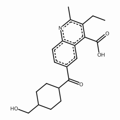 CCc1c(C)nc2ccc(C(=O)C3CCC(CO)CC3)cc2c1C(=O)O